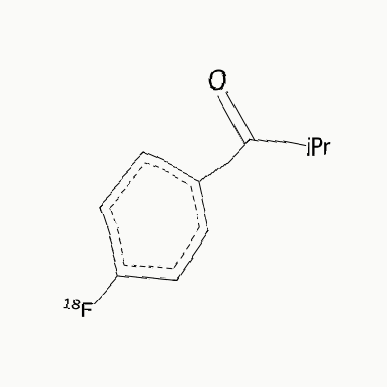 CC(C)C(=O)c1ccc([18F])cc1